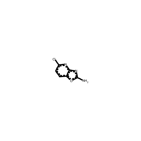 Nc1nc2nc(Cl)ccc2o1